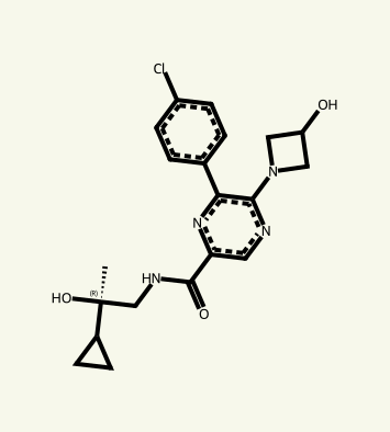 C[C@](O)(CNC(=O)c1cnc(N2CC(O)C2)c(-c2ccc(Cl)cc2)n1)C1CC1